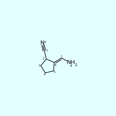 N#CC1CCCC1=CN